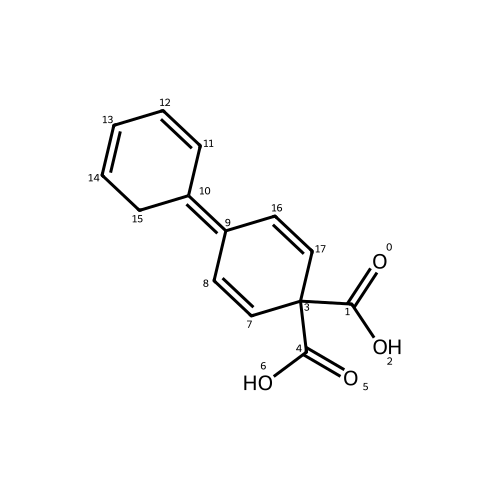 O=C(O)C1(C(=O)O)C=CC(=C2C=CC=CC2)C=C1